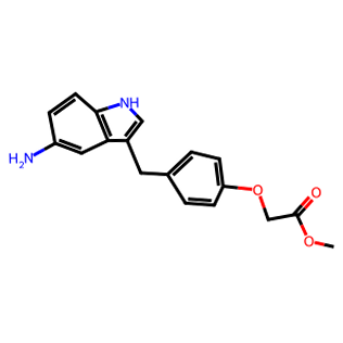 COC(=O)COc1ccc(Cc2c[nH]c3ccc(N)cc23)cc1